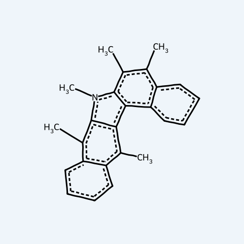 Cc1c(C)c2c(c3ccccc13)c1c(C)c3ccccc3c(C)c1n2C